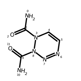 NC(=O)N1C=CN=NN1C(N)=O